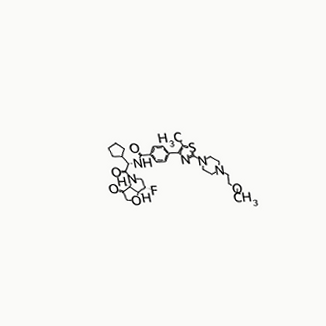 COCCN1CCN(c2nc(-c3ccc(C(=O)N[C@H](C(=O)N4C[C@H](F)[C@H]5OCC(=O)[C@H]54)C4CCCC4)cc3)c(C)s2)CC1